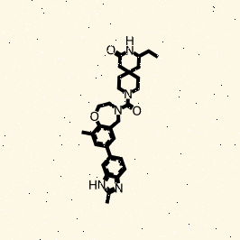 CCC1CC2(CCN(C(=O)N3CCOc4c(C)cc(-c5ccc6nc(C)[nH]c6c5)cc4C3)CC2)CC(=O)N1